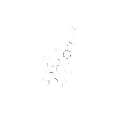 CC1c2ccc(NC(=O)CCN(C)C)c(O)c2C(=O)C2=C(O)C3(O)C(=O)C(C(N)=O)=C(O)[C@@H](N(C)C)C3C(O)C21.Cl